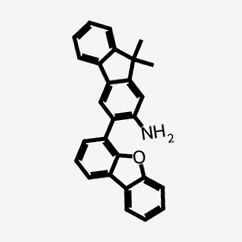 CC1(C)c2ccccc2-c2cc(-c3cccc4c3oc3ccccc34)c(N)cc21